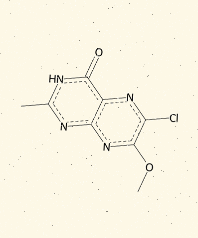 COc1nc2nc(C)[nH]c(=O)c2nc1Cl